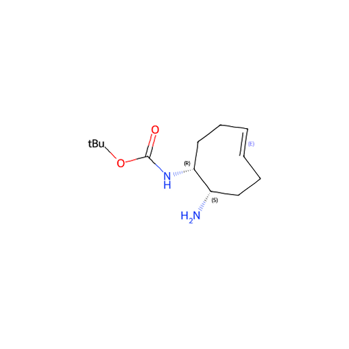 CC(C)(C)OC(=O)N[C@@H]1CC/C=C/CC[C@@H]1N